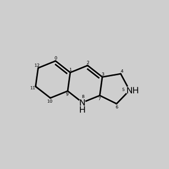 C1=C2C=C3CNCC3NC2CCC1